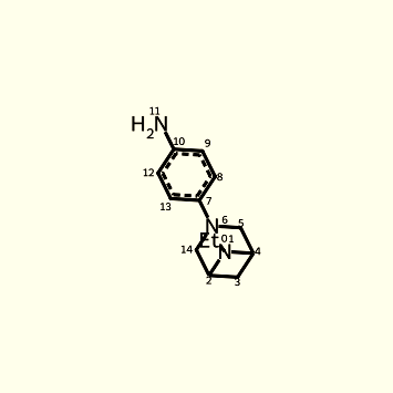 CCN1C2CC1CN(c1ccc(N)cc1)C2